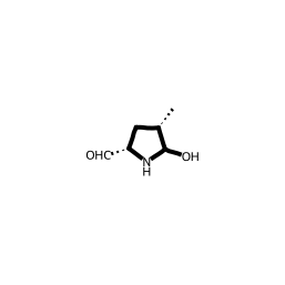 C[C@H]1C[C@@H](C=O)NC1O